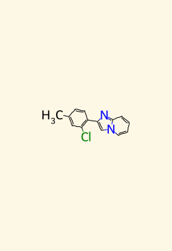 Cc1ccc(-c2cn3ccccc3n2)c(Cl)c1